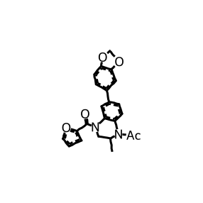 CC(=O)N1c2ccc(-c3ccc4c(c3)OCO4)cc2N(C(=O)c2ccco2)CC1C